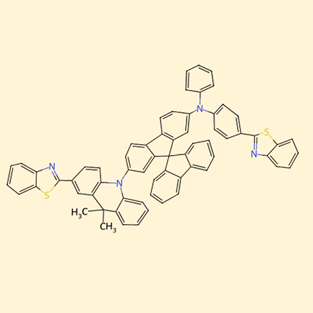 CC1(C)c2ccccc2N(c2ccc3c(c2)C2(c4ccccc4-c4ccccc42)c2cc(N(c4ccccc4)c4ccc(-c5nc6ccccc6s5)cc4)ccc2-3)c2ccc(-c3nc4ccccc4s3)cc21